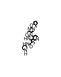 Cc1nc(OC2=CC=CC2C)ncc1N1C(=O)Nc2c(C(=O)N[C@@H]3CCCNC3)sc3nccc1c23